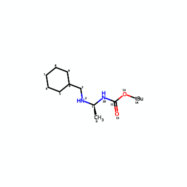 C[C@@H](NCC1CCCCC1)NC(=O)OC(C)(C)C